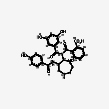 O=C(NC1CNCCCC1N(C(=O)c1cc(O)cc(O)c1)C(=O)c1c(O)cccc1C(=O)O)c1ccc(O)cc1